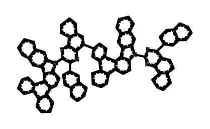 c1ccc2cc(-c3nc4c(-c5ccc6c(c5)c5ccccc5c5ccc7c(c8cc9ccccc9cc8n7-c7nc(-c8ccc9ccccc9c8)c8ccc9ccccc9c8n7)c56)cc5ccccc5c4nc3-n3c4cc5ccccc5cc4c4c5c6ccccc6c6ccccc6c5ccc43)ccc2c1